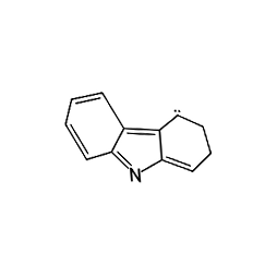 [C]1CCC=C2N=c3ccccc3=C12